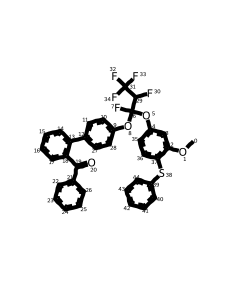 COc1cc(OC(F)(Oc2ccc(-c3ccccc3C(=O)c3ccccc3)cc2)C(F)C(F)(F)F)ccc1Sc1ccccc1